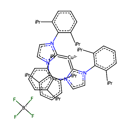 CC(C)c1cccc(C(C)C)c1-n1ccn(-c2c(C(C)C)cccc2C(C)C)[c]1=[Cu-3]=[c]1n(-c2c(C(C)C)cccc2C(C)C)ccn1-c1c(C(C)C)cccc1C(C)C.F[B-](F)(F)F